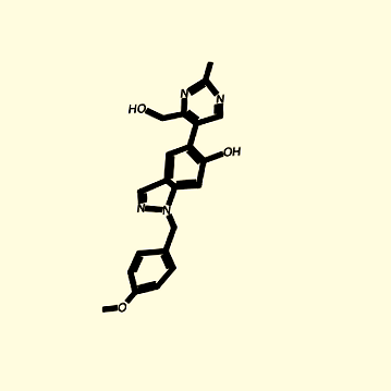 COc1ccc(Cn2ncc3cc(-c4cnc(C)nc4CO)c(O)cc32)cc1